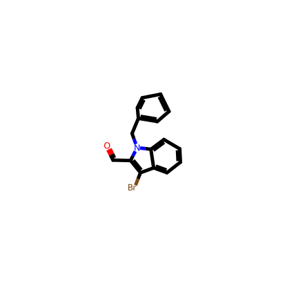 O=Cc1c(Br)c2ccccc2n1Cc1ccccc1